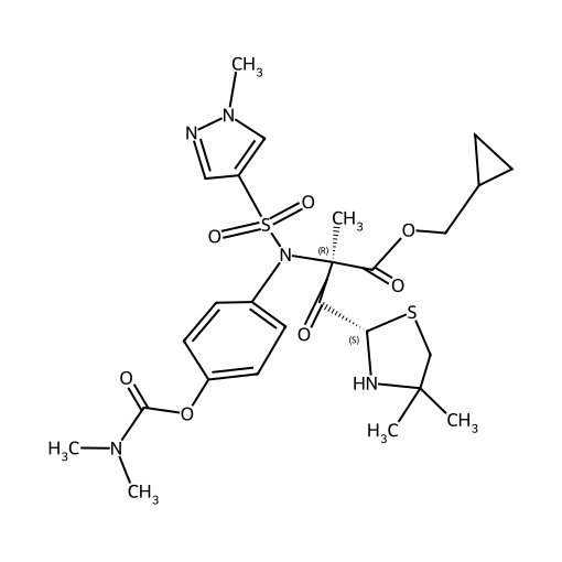 CN(C)C(=O)Oc1ccc(N([C@@](C)(C(=O)OCC2CC2)C(=O)[C@H]2NC(C)(C)CS2)S(=O)(=O)c2cnn(C)c2)cc1